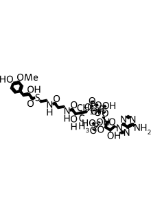 COc1cc(/C=C(\O)C(=O)SCCNC(=O)CCNC(=O)[C@H](O)C(C)(C)COP(=O)(O)OP(=O)(O)OC[C@H]2O[C@@H](n3cnc4c(N)ncnc43)[C@H](O)[C@@H]2OP(=O)(O)O)ccc1O